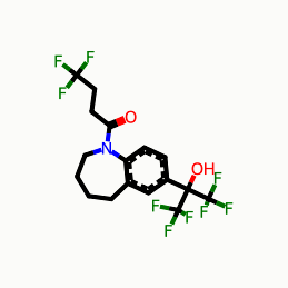 O=C(CCC(F)(F)F)N1CCCCc2cc(C(O)(C(F)(F)F)C(F)(F)F)ccc21